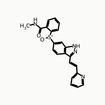 CNC(=O)c1ccccc1[S+]([O-])c1ccc2c(/C=C/c3ccccn3)n[nH]c2c1